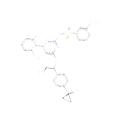 Cc1cccc(C)c1-c1cc(OC(CN)c2ccc(C3(C(F)(F)F)CC3)cc2)nc(NS(=O)(=O)c2cccc(C(=O)O)c2)n1